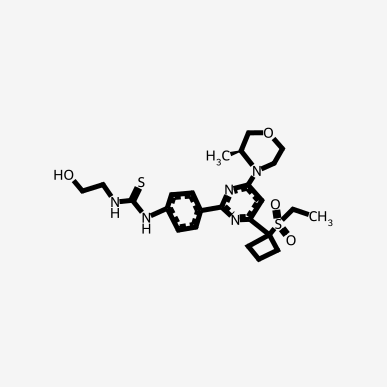 CCS(=O)(=O)C1(c2cc(N3CCOC[C@@H]3C)nc(-c3ccc(NC(=S)NCCO)cc3)n2)CCC1